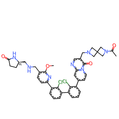 COc1nc(-c2cccc(-c3cccc(-c4ccn5c(=O)c(CN6CC7(C6)CN(C(C)=O)C7)cnc5c4)c3Cl)c2Cl)ccc1CNC[C@H]1CCC(=O)N1